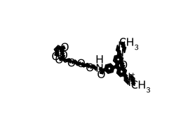 CN1CCN(c2ccc3c(-c4ccc(C(=O)NCCOCCOCCOCCC(=O)ON5C(=O)CCC5=O)cc4)c4ccc(=[N+]5CCN(C)CC5)cc-4oc3c2)CC1